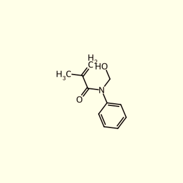 C=C(C)C(=O)N(CO)c1ccccc1